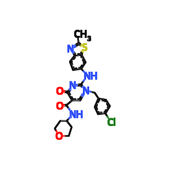 Cc1nc2ccc(Nc3nc(=O)c(C(=O)NC4CCOCC4)cn3Cc3ccc(Cl)cc3)cc2s1